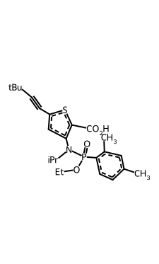 CCOP(=O)(c1ccc(C)cc1C)N(c1cc(C#CC(C)(C)C)sc1C(=O)O)C(C)C